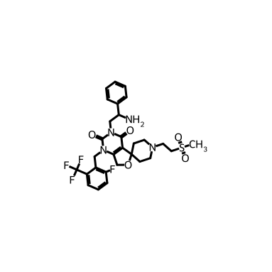 CS(=O)(=O)CCN1CCC2(CC1)OCc1c2c(=O)n(CC(N)c2ccccc2)c(=O)n1Cc1c(F)cccc1C(F)(F)F